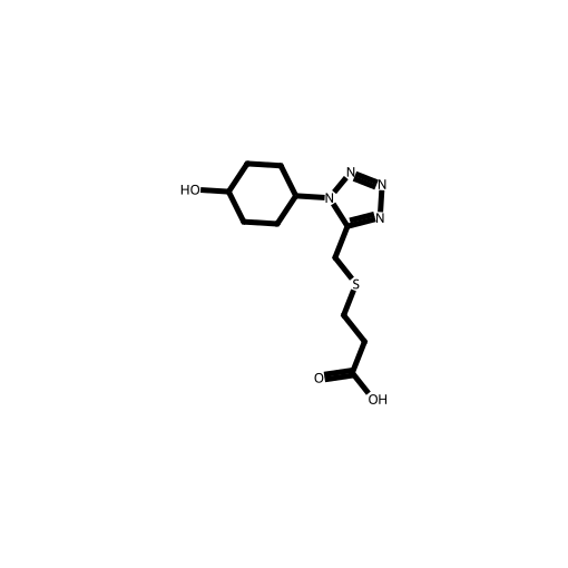 O=C(O)CCSCc1nnnn1C1CCC(O)CC1